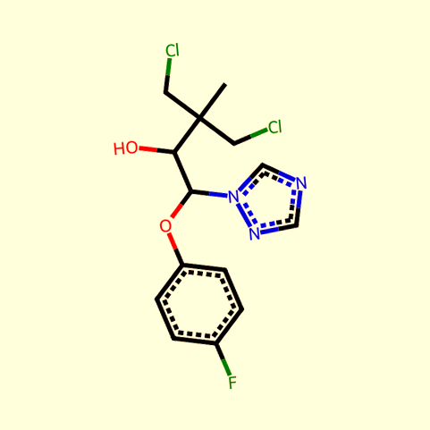 CC(CCl)(CCl)C(O)C(Oc1ccc(F)cc1)n1cncn1